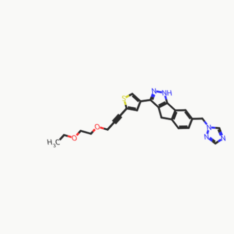 CCOCCOCC#Cc1cc(-c2n[nH]c3c2Cc2ccc(Cn4cncn4)cc2-3)cs1